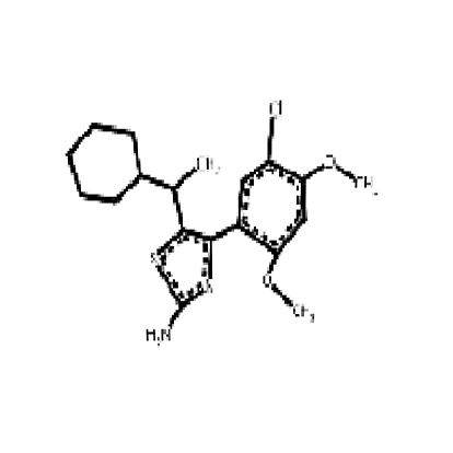 COc1cc(OC)c(-c2nc(N)sc2C(C)C2CCCCC2)cc1Cl